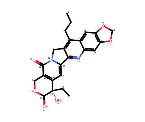 CCCc1c2c(nc3cc4c(cc13)OCO4)-c1cc3c(c(=O)n1C2)COC(O)[C@]3(O)CC